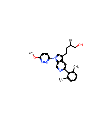 CCC(CO)CCc1cn(-c2ccc(OC(C)C)nn2)c2cnc(-c3c(C)cccc3C)cc12